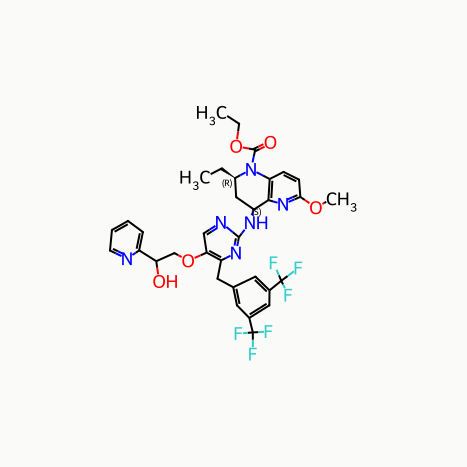 CCOC(=O)N1c2ccc(OC)nc2[C@@H](Nc2ncc(OCC(O)c3ccccn3)c(Cc3cc(C(F)(F)F)cc(C(F)(F)F)c3)n2)C[C@H]1CC